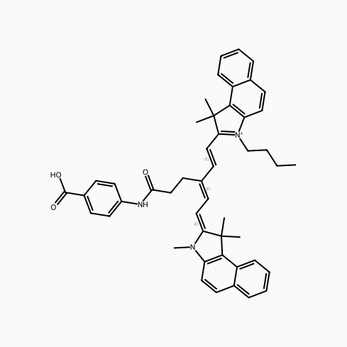 CCCC[N+]1=C(/C=C/C(=C/C=C2/N(C)c3ccc4ccccc4c3C2(C)C)CCC(=O)Nc2ccc(C(=O)O)cc2)C(C)(C)c2c1ccc1ccccc21